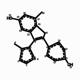 Cc1ccsc1C1=C(c2ccc(O)cc2)Cc2c(C)cc(O)cc21